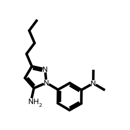 CCCCc1cc(N)n(-c2cccc(N(C)C)c2)n1